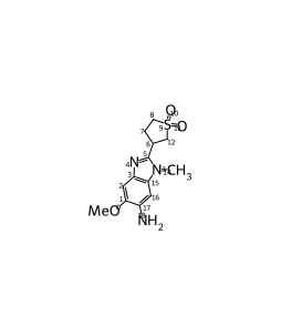 COc1cc2nc(C3CCS(=O)(=O)C3)n(C)c2cc1N